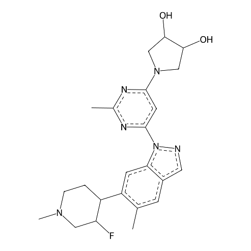 Cc1nc(N2CC(O)C(O)C2)cc(-n2ncc3cc(C)c(C4CCN(C)CC4F)cc32)n1